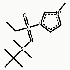 CCS(=O)(=N[Si](C)(C)C(C)(C)C)n1cc[n+](C)c1